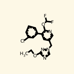 CCOc1ncn(Cc2cnc(OC(F)F)c(-c3cccc(Cl)c3)c2)n1